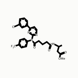 COC(=O)CC(C)NC(=O)CCCC(=O)N(c1ccc(C(F)(F)F)cc1)c1nccc(-c2cccc(Cl)c2)n1